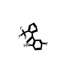 Fc1ccc2[nH]cc(-c3ccccc3C(F)(F)F)c2c1